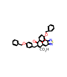 O=C(O)/C(=C(\Cc1ccc(OCc2ccccc2)cc1)C(=O)c1ccc(OCc2ccccc2)cc1)c1ccc2nsnc2c1